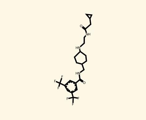 O=C(CC1CC1)NCCNC1CCC(CNC(=O)c2cc(C(F)(F)F)cc(C(F)(F)F)c2)CC1